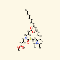 CCCCCCCCC(CCCCCCC)OC(=O)CCCN(CCCC(=O)OC)C(=O)SCCCN(CC)CC